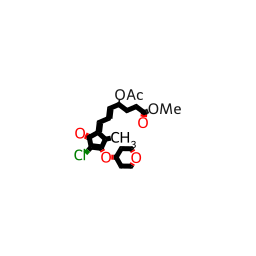 COC(=O)CC[C@H](C=CC=C1C(=O)C(Cl)=C(OC2CCOCC2)C1C)OC(C)=O